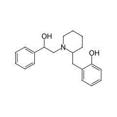 Oc1ccccc1CC1CCCCN1CC(O)c1ccccc1